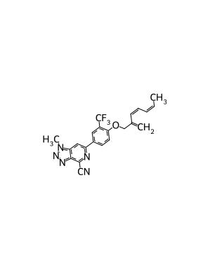 C=C(/C=C\C=C/C)COc1ccc(-c2cc3c(nnn3C)c(C#N)n2)cc1C(F)(F)F